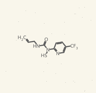 C=CCNC(=O)N(S)c1ccc(C(F)(F)F)cn1